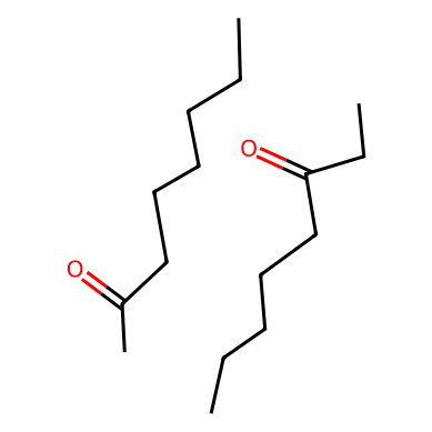 CCCCCC(=O)CC.CCCCCCC(C)=O